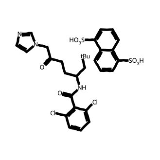 CC(C)(C)CC(CCC(=O)Cn1ccnc1)NC(=O)c1c(Cl)cccc1Cl.O=S(=O)(O)c1cccc2c(S(=O)(=O)O)cccc12